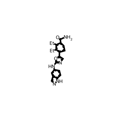 CCc1c(C(N)=O)ccc(-c2cnc(Nc3ccc4[nH]ncc4c3)o2)c1CC